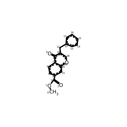 COC(=O)c1ccc2c(=O)c(Cc3ccccc3)coc2c1